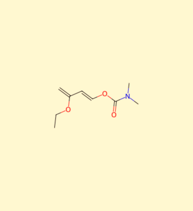 C=C(/C=C/OC(=O)N(C)C)OCC